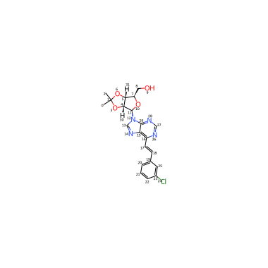 CC1(C)O[C@@H]2[C@H](O1)[C@@H](CO)O[C@H]2n1cnc2c(/C=C/c3cccc(Cl)c3)ncnc21